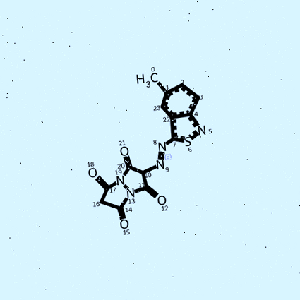 Cc1ccc2nsc(/N=N/C3C(=O)N4C(=O)CC(=O)N4C3=O)c2c1